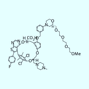 COCCOCCOCCOC[C@@H]1CN(c2cccc(COc3ccc4cc3C[C@H](C(=O)O)Oc3ncnc5sc(-c6ccc(F)cc6)c(c35)-c3c(C)c(Cl)c(c(Cl)c3C)O[C@H](CN3CCN(C)CC3)CO4)c2)CCO1